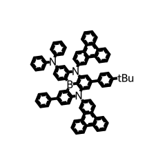 CC(C)(C)c1ccc(-c2cc3c4c(c2)N(c2ccc5c6ccccc6c6ccccc6c5c2)c2cc(N(c5ccccc5)c5ccccc5)ccc2B4c2cc(-c4ccccc4)ccc2N3c2ccc3c4ccccc4c4ccccc4c3c2)cc1